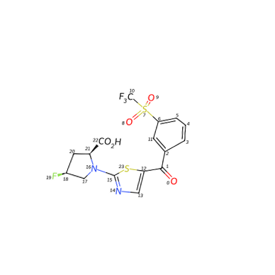 O=C(c1cccc(S(=O)(=O)C(F)(F)F)c1)c1cnc(N2C[C@@H](F)C[C@H]2C(=O)O)s1